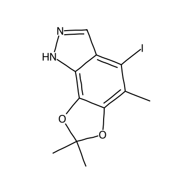 Cc1c2c(c3[nH]ncc3c1I)OC(C)(C)O2